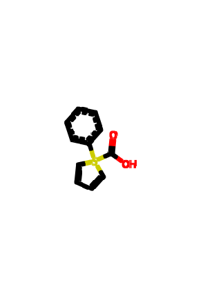 O=C(O)S1(c2ccccc2)C=CC=C1